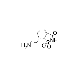 NCCc1cccc2c1S(=O)(=O)NC2=O